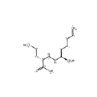 C=CCSC[C@H](NN[C@@H](CCC(=O)O)C(N)=O)C(=O)O